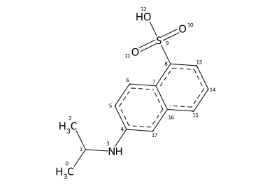 CC(C)Nc1ccc2c(S(=O)(=O)O)cccc2c1